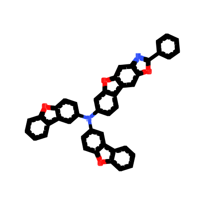 c1ccc(-c2nc3cc4oc5cc(N(c6ccc7oc8ccccc8c7c6)c6ccc7oc8ccccc8c7c6)ccc5c4cc3o2)cc1